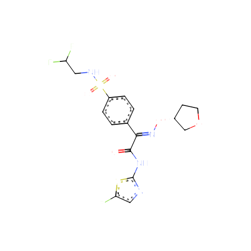 O=C(Nc1ncc(F)s1)/C(=N/O[C@@H]1CCOC1)c1ccc(S(=O)(=O)NCC(F)F)cc1